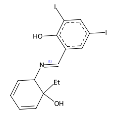 CCC1(O)C=CC=CC1/N=C/c1cc(I)cc(I)c1O